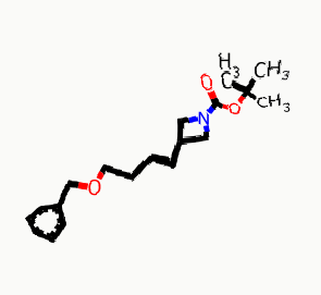 CC(C)(C)OC(=O)N1CC(C=CCCOCc2ccccc2)C1